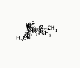 CC#CC(=O)N(C)[C@H]1CCC[C@@H](Oc2nc(-c3cnn(C)c3)cn3ncc(F)c23)C1